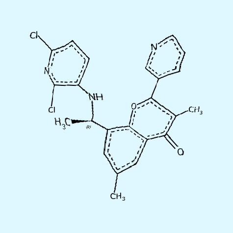 Cc1cc([C@@H](C)Nc2ccc(Cl)nc2Cl)c2oc(-c3cccnc3)c(C)c(=O)c2c1